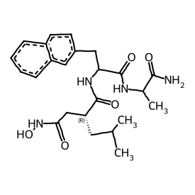 CC(C)C[C@H](CC(=O)NO)C(=O)NC(Cc1ccc2ccccc2c1)C(=O)NC(C)C(N)=O